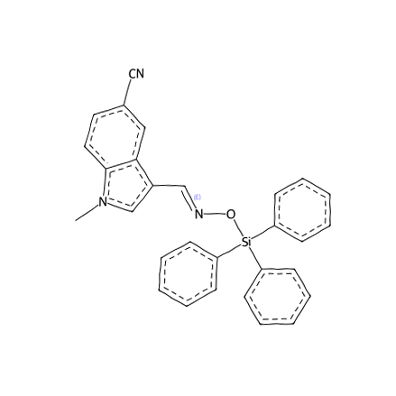 Cn1cc(/C=N/O[Si](c2ccccc2)(c2ccccc2)c2ccccc2)c2cc(C#N)ccc21